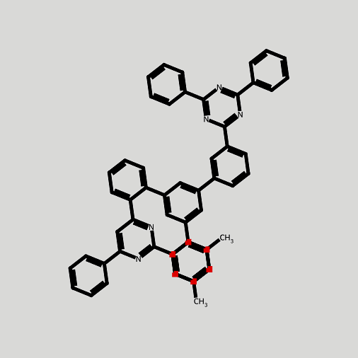 Cc1ccc(-c2cc(-c3cccc(-c4nc(-c5ccccc5)nc(-c5ccccc5)n4)c3)cc(-c3ccccc3-c3cc(-c4ccccc4)nc(-c4ccccc4)n3)c2)c(C)n1